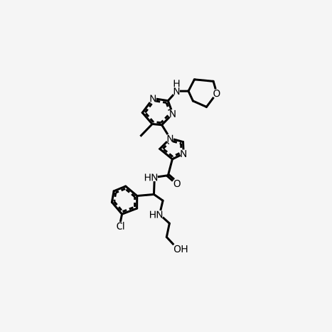 Cc1cnc(NC2CCOCC2)nc1-n1cnc(C(=O)NC(CNCCO)c2cccc(Cl)c2)c1